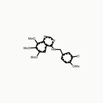 COc1ccc(CNc2ncnc3c(OC)c(OC)c(OC)cc23)cc1Cl